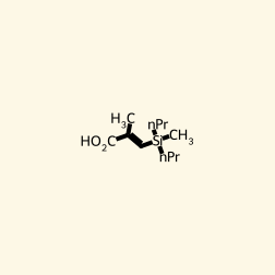 CCC[Si](C)(C=C(C)C(=O)O)CCC